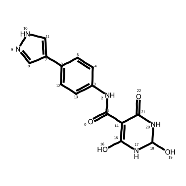 O=C(Nc1ccc(-c2cn[nH]c2)cc1)C1=C(O)NC(O)NC1=O